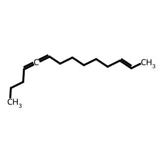 CC=CCCCCCC=C=CCCC